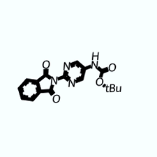 CC(C)(C)OC(=O)Nc1cnc(N2C(=O)c3ccccc3C2=O)nc1